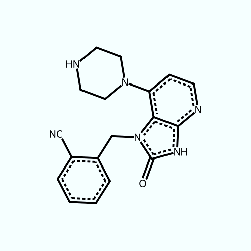 N#Cc1ccccc1Cn1c(=O)[nH]c2nccc(N3CCNCC3)c21